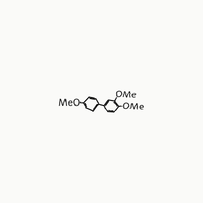 COc1ccc(-c2ccc(OC)c(OC)c2)cc1